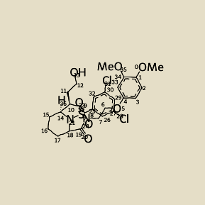 COc1ccc(OCCN2C[C@H](CCO)[C@@H]3CCCC(C2=O)N3S(=O)(=O)c2cc(Cl)cc(Cl)c2)cc1OC